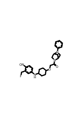 O=Nc1ccc(NC2CCC(OCC(=O)N3CC4CC3CN4c3ccccc3)CC2)cc1CF